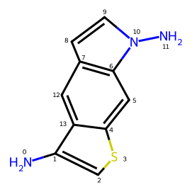 Nc1csc2cc3c(ccn3N)cc12